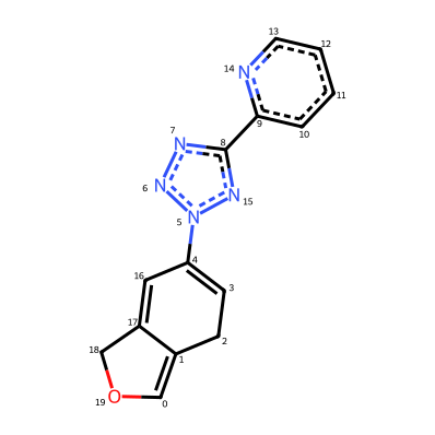 C1=C2CC=C(n3nnc(-c4ccccn4)n3)C=C2CO1